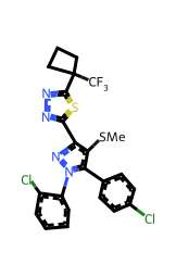 CSc1c(-c2nnc(C3(C(F)(F)F)CCC3)s2)nn(-c2ccccc2Cl)c1-c1ccc(Cl)cc1